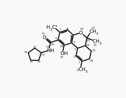 CC1=CC2c3c(cc(C)c(C(=O)NC4CCCC4)c3O)OC(C)(C)C2CC1